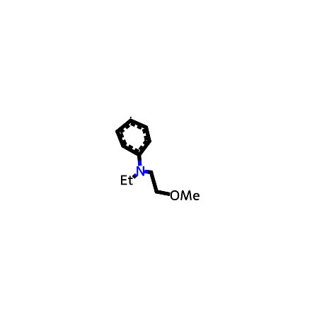 CCN(CCOC)c1cc[c]cc1